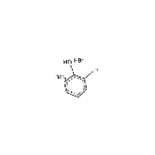 Br.CCc1ccccc1O.N